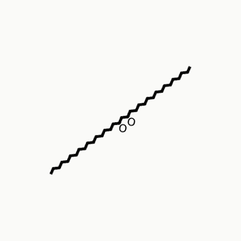 CCCCCCCCCCCCCCCCC(=O)CC(=O)CCCCCCCCCCCCCCC